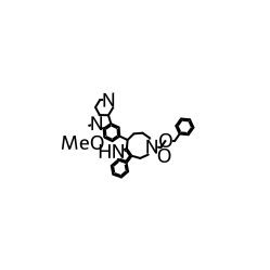 COc1cc(C2CCCN(C(=O)OCc3ccccc3)CCc3c2[nH]c2ccccc32)cc2c1N(C)C1CCN(C)CC21